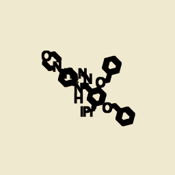 CC(C)c1cc(/C(=N/N)Nc2ccc(N3CCOCC3)cc2)c(OCc2ccccc2)cc1OCc1ccccc1